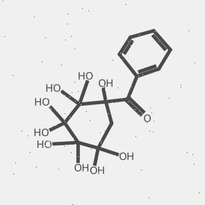 O=C(c1ccccc1)C1(O)CC(O)(O)C(O)(O)C(O)(O)C1(O)O